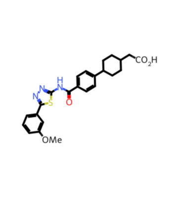 COc1cccc(-c2nnc(NC(=O)c3ccc(C4CCC(CC(=O)O)CC4)cc3)s2)c1